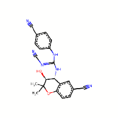 CC1(C)Oc2ccc(C#N)cc2[C@@H](NC(=NC#N)Nc2ccc(C#N)cc2)[C@@H]1O